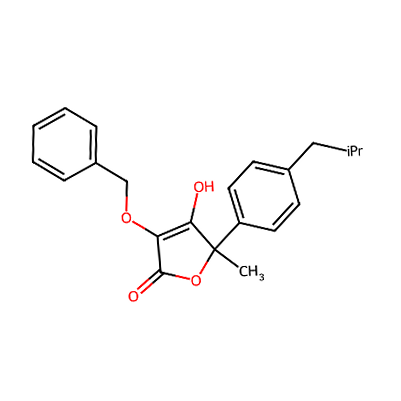 CC(C)Cc1ccc(C2(C)OC(=O)C(OCc3ccccc3)=C2O)cc1